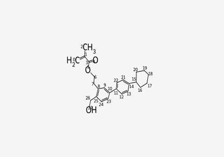 C=C(C)C(=O)OCCc1cc(-c2ccc(C3CCCCC3)cc2)ccc1CO